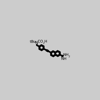 CC(C)(C)N(Cc1ccc(C#Cc2ccc3cc(C(=N)N)ccc3c2)cc1)C(=O)O